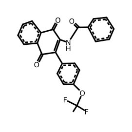 CC(F)(F)Oc1ccc(C2=C(NC(=O)c3ccccc3)C(=O)c3ccccc3C2=O)cc1